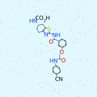 N#Cc1ccc(NC(=O)COc2cccc(C(=O)Nc3nc4c(s3)C[C@@H](NC(=O)O)CC4)c2)cc1